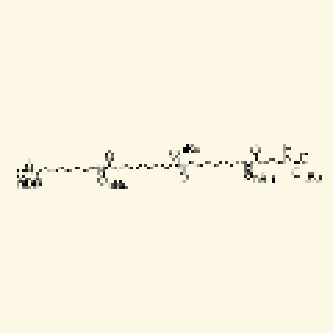 CCCCON(C)C(=O)CCCCCCCN(OCCCC)C(=O)CCCCCCCN(OCCCC)C(=O)CCCCCCCN(OCCCC)C(=O)CCCNC(=O)OC(C)(C)C